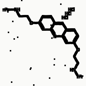 CCCNCCOc1ccc2cc3ccc(OCCNCCC)cc3nc2c1.Cl.Cl.Cl